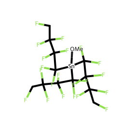 C[O][Sn]([C](F)(F)C(F)(F)C(F)(F)CF)([C](F)(F)C(F)(F)C(F)(F)CF)[C](F)(F)C(F)(F)C(F)(F)CF